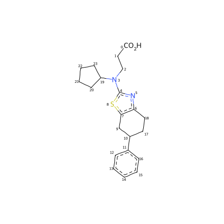 O=C(O)CCN(c1nc2c(s1)CC(c1ccccc1)CC2)C1CCCC1